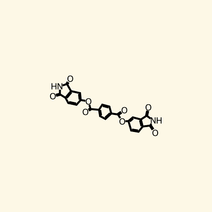 O=C(Oc1ccc2c(c1)C(=O)NC2=O)c1ccc(C(=O)Oc2ccc3c(c2)C(=O)NC3=O)cc1